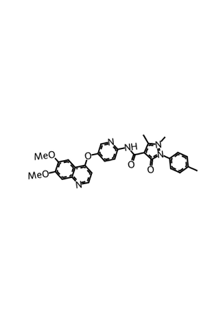 COc1cc2nccc(Oc3ccc(NC(=O)c4c(C)n(C)n(-c5ccc(C)cc5)c4=O)nc3)c2cc1OC